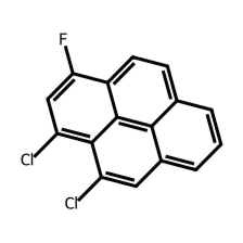 Fc1cc(Cl)c2c(Cl)cc3cccc4ccc1c2c43